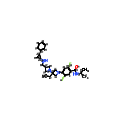 CC(NC(=O)c1cc(F)c(N2CC(CC#N)(N3CC(CN[C@@H]4C[C@H]4c4ccccc4)C3)C2)cc1F)C(F)(F)F